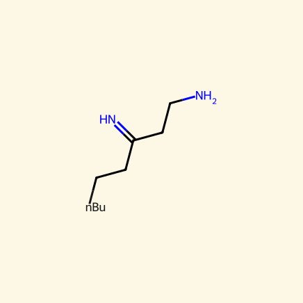 CCCCCCC(=N)CCN